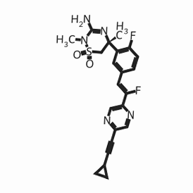 CN1C(N)=N[C@](C)(c2cc(/C=C(\F)c3cnc(C#CC4CC4)cn3)ccc2F)CS1(=O)=O